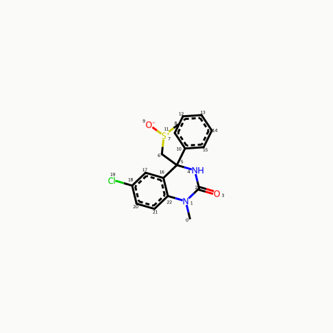 CN1C(=O)NC(C[S+](C)[O-])(c2ccccc2)c2cc(Cl)ccc21